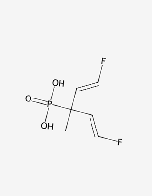 CC(/C=C/F)(/C=C/F)P(=O)(O)O